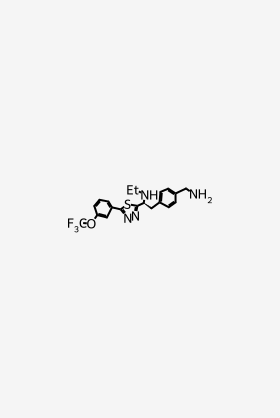 CCN[C@@H](Cc1ccc(CN)cc1)c1nnc(-c2cccc(OC(F)(F)F)c2)s1